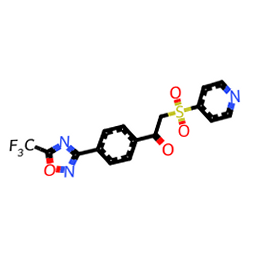 O=C(CS(=O)(=O)c1ccncc1)c1ccc(-c2noc(C(F)(F)F)n2)cc1